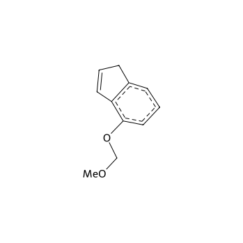 COCOc1cccc2c1C=CC2